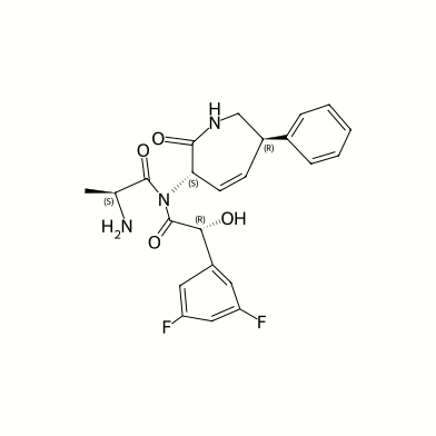 C[C@H](N)C(=O)N(C(=O)[C@H](O)c1cc(F)cc(F)c1)[C@H]1C=C[C@H](c2ccccc2)CNC1=O